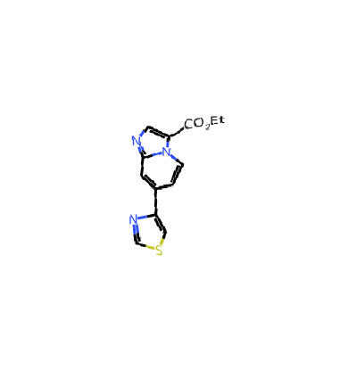 CCOC(=O)c1cnc2cc(-c3cscn3)ccn12